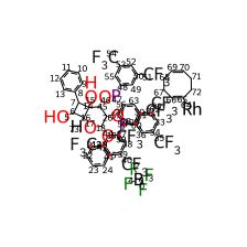 F[B-](F)(F)F.OC1C(c2ccccc2)[C@@]2(O)[C@@H]1O[C@@H](Oc1ccccc1)[C@H](OP(c1cc(C(F)(F)F)cc(C(F)(F)F)c1)c1cc(C(F)(F)F)cc(C(F)(F)F)c1)[C@H]2OP(c1cc(C(F)(F)F)cc(C(F)(F)F)c1)c1cc(C(F)(F)F)cc(C(F)(F)F)c1.[Rh]/[C]1=C/CC/C=C\CC1